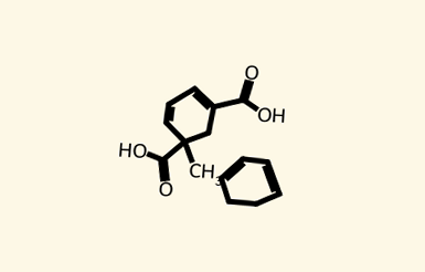 C1=CCCC=C1.CC1(C(=O)O)C=CC=C(C(=O)O)C1